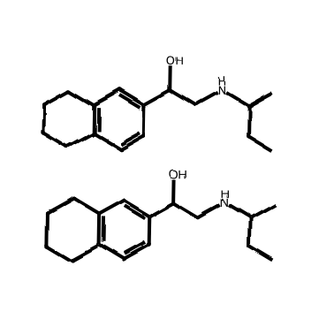 CCC(C)NCC(O)c1ccc2c(c1)CCCC2.CCC(C)NCC(O)c1ccc2c(c1)CCCC2